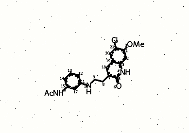 COc1cc2[nH]c(=O)c(CCNc3cccc(NC(C)=O)c3)cc2cc1Cl